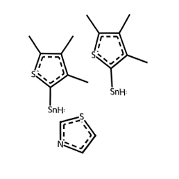 Cc1s[c]([SnH])c(C)c1C.Cc1s[c]([SnH])c(C)c1C.c1cscn1